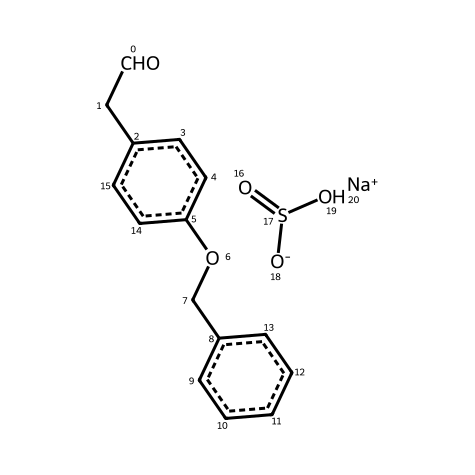 O=CCc1ccc(OCc2ccccc2)cc1.O=S([O-])O.[Na+]